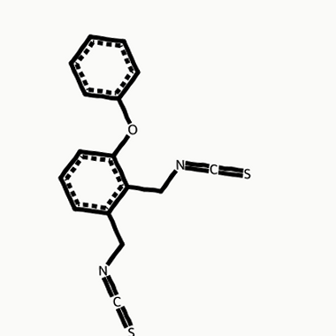 S=C=NCc1cccc(Oc2ccccc2)c1CN=C=S